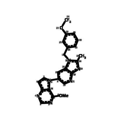 COc1ncnc2ccn(-c3cnc4nc(C)n(Cc5cccc(OC(F)(F)F)c5)c4c3)c12